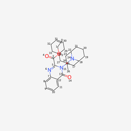 CCOC(=O)c1nc2ccccc2c(=O)n1C1CC2CCCC(C1)N2C(C)CC1CC=CCC1